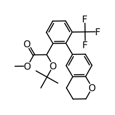 COC(=O)C(OC(C)(C)C)c1cccc(C(F)(F)F)c1-c1ccc2c(c1)CCCO2